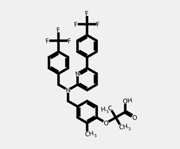 Cc1cc(CN(Cc2ccc(C(F)(F)F)cc2)c2cccc(-c3ccc(C(F)(F)F)cc3)n2)ccc1OC(C)(C)C(=O)O